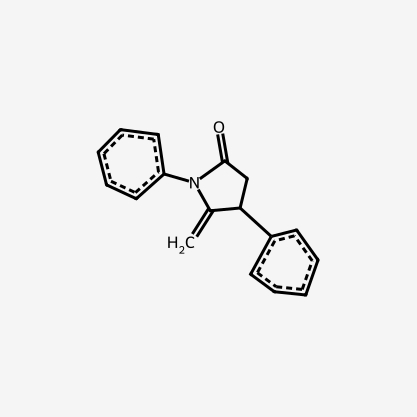 C=C1C(c2ccccc2)CC(=O)N1c1ccccc1